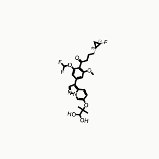 COc1cc(-c2cnn3cc(OC(C)(C)C(O)O)ccc23)cc(OC(F)F)c1C(=O)CCC[C@@H]1C[C@@H]1F